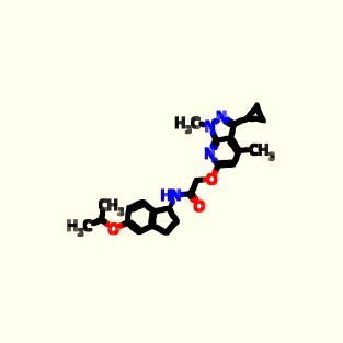 Cc1cc(OCC(=O)N[C@H]2CCc3cc(OC(C)C)ccc32)nc2c1c(C1CC1)nn2C